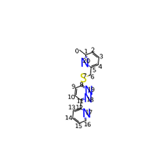 Cc1cccc(CSc2ccc(-c3ccccn3)nn2)n1